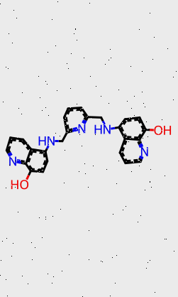 Oc1ccc(NCc2cccc(CNc3ccc(O)c4ncccc34)n2)c2cccnc12